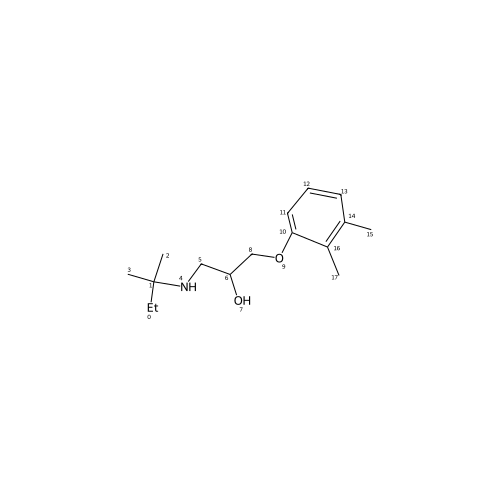 CCC(C)(C)NCC(O)COc1cccc(C)c1C